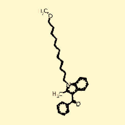 COCCCCCCCCCCCn1c(C)c(C(=O)c2ccccc2)c2ccccc21